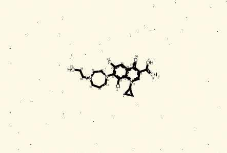 C=C(O)c1cn(C2CC2)c2c(Cl)c(N3CCCN(CCO)CC3)c(F)cc2c1=O